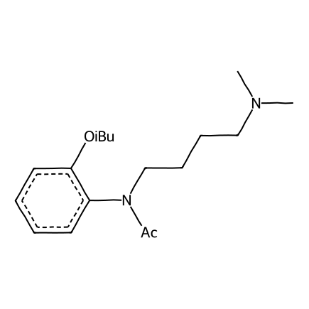 CC(=O)N(CCCCN(C)C)c1ccccc1OCC(C)C